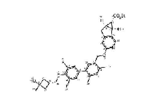 CCOC(=O)[C@H]1[C@@H]2Cc3cc(OCc4cc(-c5cc(F)c(OC[C@H]6C[C@@](C)(O)C6)c(F)c5)c(C)cc4F)ncc3[C@@H]21